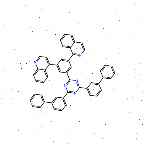 c1ccc(-c2cccc(-c3nc(-c4cccc(-c5ccccc5)c4)nc(-c4cc(-c5nccc6ccccc56)cc(-c5ccnc6ccccc56)c4)n3)c2)cc1